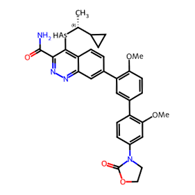 COc1cc(N2CCOC2=O)ccc1-c1ccc(OC)c(-c2ccc3c([AsH][C@H](C)C4CC4)c(C(N)=O)nnc3c2)c1